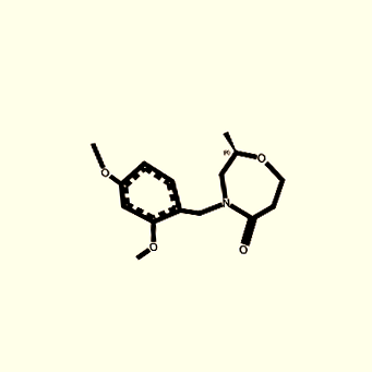 COc1ccc(CN2C[C@@H](C)OCCC2=O)c(OC)c1